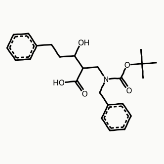 CC(C)(C)OC(=O)N(Cc1ccccc1)CC(C(=O)O)C(O)CCc1ccccc1